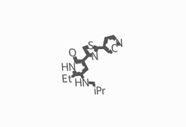 CCc1[nH]c(=O)c(-c2csc(-c3ccncc3)n2)cc1NCC(C)C